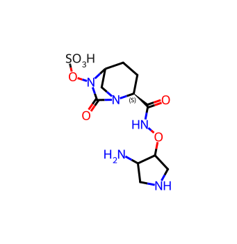 NC1CNCC1ONC(=O)[C@@H]1CCC2CN1C(=O)N2OS(=O)(=O)O